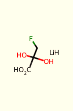 O=C(O)C(O)(O)CF.[LiH]